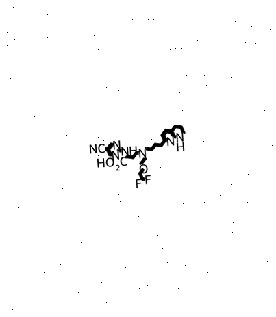 N#Cc1cnc(NC(CCN(CCCCc2ccc3c(n2)NCCC3)CCOCC(F)F)C(=O)O)nc1